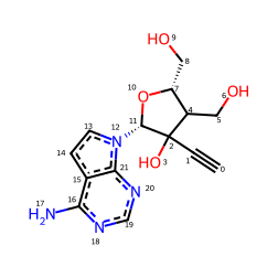 C#CC1(O)C(CO)[C@@H](CO)O[C@H]1n1ccc2c(N)ncnc21